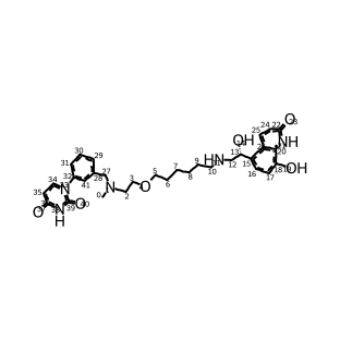 CN(CCOCCCCCCNC[C@H](O)c1ccc(O)c2[nH]c(=O)ccc12)Cc1cccc(-n2ccc(=O)[nH]c2=O)c1